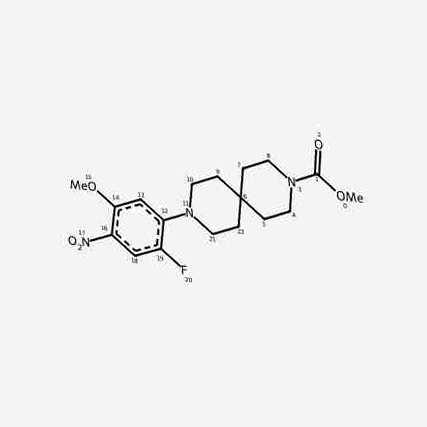 COC(=O)N1CCC2(CC1)CCN(c1cc(OC)c([N+](=O)[O-])cc1F)CC2